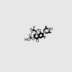 COc1c(N2CC(C)NC(C)C2)c(F)cc2c(=O)c(OC(=O)O)cn(CC(F)(F)F)c12